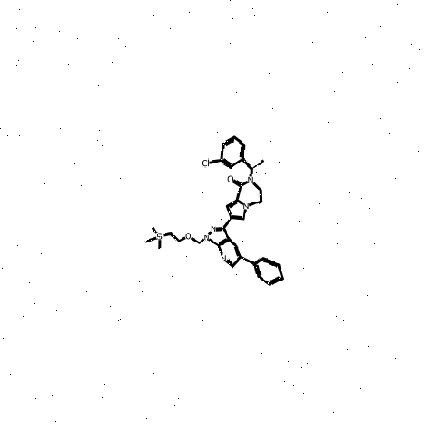 C[C@H](c1cccc(Cl)c1)N1CCn2cc(-c3nn(COCC[Si](C)(C)C)c4ncc(-c5ccccc5)cc34)cc2C1=O